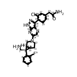 NC[C@]1(c2ccccc2F)[C@@H]2CCN(c3cnc4c(-c5ccc(CC(N)=O)cc5Cl)n[nH]c4n3)C[C@@H]21